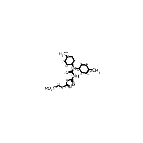 CC1CCC(N(C(=O)Nc2nnc(SCC(=O)O)s2)C2CCC(C)CC2)CC1